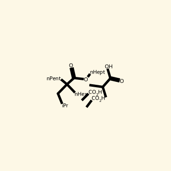 CC(=O)O.CC(=O)O.CC(C)C(=O)O.CCCCCCCOC(=O)C(CCCCC)(CCCCCC)CC(C)C